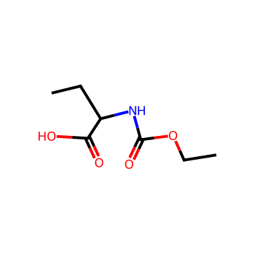 CCOC(=O)NC(CC)C(=O)O